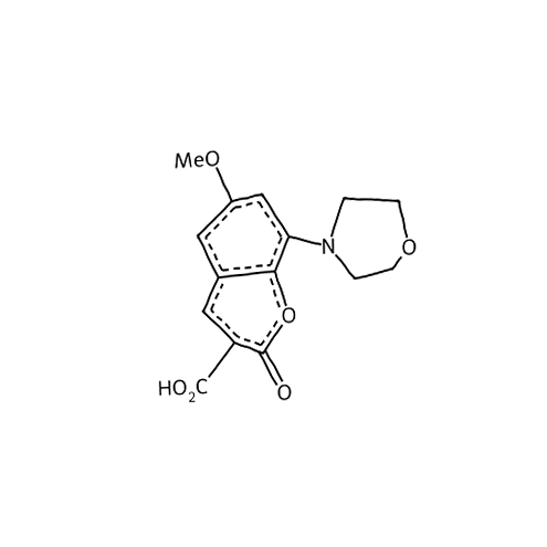 COc1cc(N2CCOCC2)c2oc(=O)c(C(=O)O)cc2c1